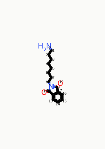 NCCCCCCCCN1C(=O)c2ccccc2C1=O